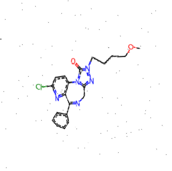 COCCCCn1nc2n(c1=O)-c1ccc(Cl)nc1C(c1ccccc1)=NC2